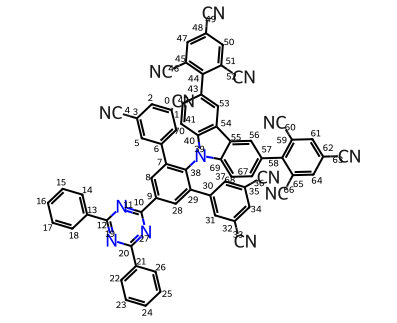 N#Cc1cc(C#N)cc(-c2cc(-c3nc(-c4ccccc4)nc(-c4ccccc4)n3)cc(-c3cc(C#N)cc(C#N)c3)c2-n2c3ccc(-c4c(C#N)cc(C#N)cc4C#N)cc3c3cc(-c4c(C#N)cc(C#N)cc4C#N)ccc32)c1